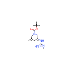 C/N=C(\NC)N[C@H]1C[C@@H](C)CN(C(=O)OC(C)(C)C)C1